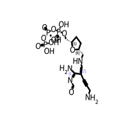 NCC#CC(=C/NC[C@H]1CC[C@@H](COP(=O)(O)OP(=O)(O)OP(=O)(O)O)O1)/C(N)=N\C=O